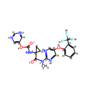 CN(C(=O)C1(NC(=O)Oc2cncnc2)CC1)c1ncc(Oc2ccccc2C(F)(F)F)cn1